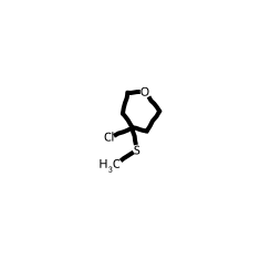 CSC1(Cl)CCOCC1